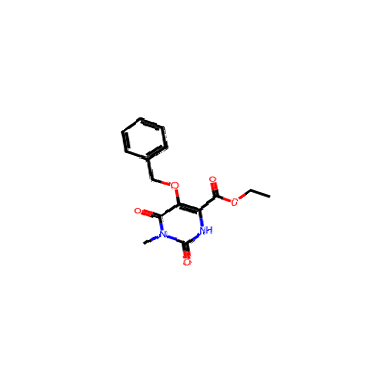 CCOC(=O)c1[nH]c(=O)n(C)c(=O)c1OCc1ccccc1